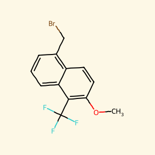 COc1ccc2c(CBr)cccc2c1C(F)(F)F